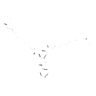 CC(C)(C)OC(=O)NCCOCCOCCNC(=O)c1cc(NC(=O)c2ccc(I)cc2)cc(C(=O)NCCOCCOCCNC(=O)OC(C)(C)C)c1